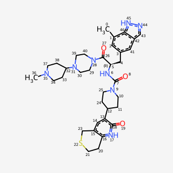 Cc1cc(C[C@@H](NC(=O)N2CCC(c3cc4c([nH]c3=O)CCSC4)CC2)C(=O)N2CCN(C3CCN(C)CC3)CC2)cc2cn[nH]c12